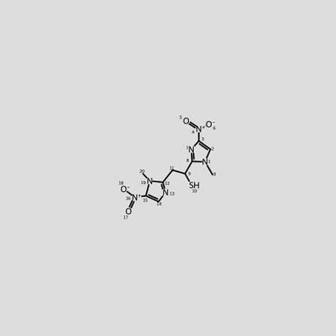 Cn1cc([N+](=O)[O-])nc1C(S)Cc1ncc([N+](=O)[O-])n1C